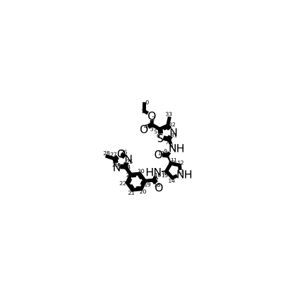 CCOC(=O)c1sc(NC(=O)[C@H]2CNC[C@@H]2NC(=O)c2cccc(-c3noc(C)n3)c2)nc1C